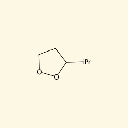 CC(C)C1CCOO1